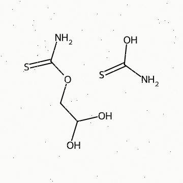 NC(=S)OCC(O)O.NC(O)=S